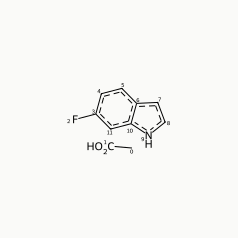 CC(=O)O.Fc1ccc2cc[nH]c2c1